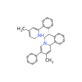 CC1=CCNC(c2ccccc2[C@H]2CN3C=C(c4ccccc4)C(C)=CC3c3ccccc32)=C1